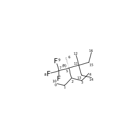 CCC(CC)[C@@](C)(C(F)(F)F)C(C)(CC)CC